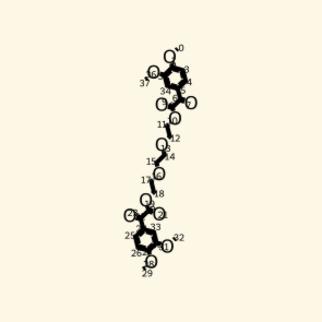 COc1ccc(C(=O)C(=O)OCCOCCOCCOC(=O)C(=O)c2ccc(OC)c(OC)c2)cc1OC